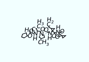 C=CC1CC1(NC(=O)[C@@H]1C[C@@H](C)CN1C(=O)[C@@H](NC(=O)OC1CCCC1)C(C)C)C(=O)NS(=O)(=O)C1CC1